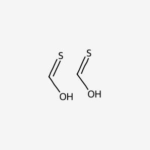 OC=S.OC=S